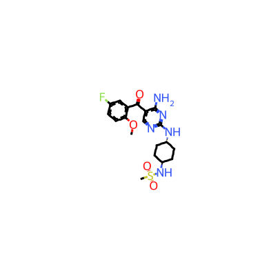 COc1ccc(F)cc1C(=O)c1cnc(N[C@H]2CC[C@H](NS(C)(=O)=O)CC2)nc1N